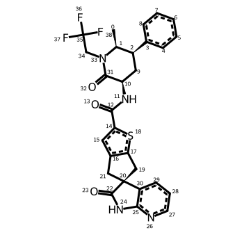 C[C@H]1[C@@H](c2ccccc2)C[C@@H](NC(=O)c2cc3c(s2)C[C@]2(C3)C(=O)Nc3ncccc32)C(=O)N1CC(F)(F)F